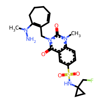 CN(N)C1=C(Cn2c(=O)c3cc(S(=O)(=O)NC4(CF)CC4)ccc3n(C)c2=O)C=CCCC1